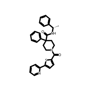 C[C@H](NC(=O)C1(c2ccccc2)CCN(C(=O)c2ccc(-c3ccccn3)s2)CC1)c1ccccc1